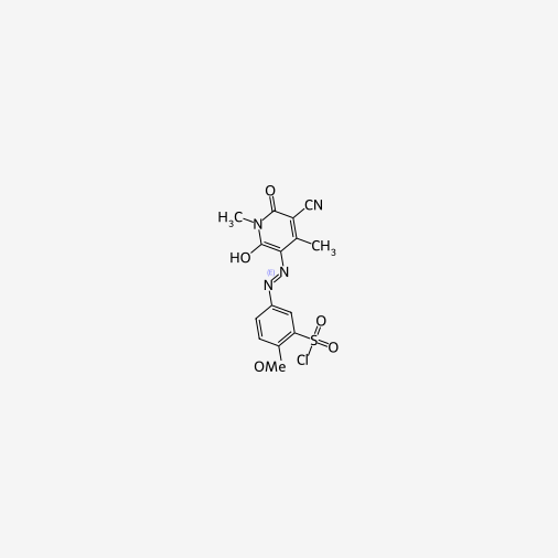 COc1ccc(/N=N/c2c(C)c(C#N)c(=O)n(C)c2O)cc1S(=O)(=O)Cl